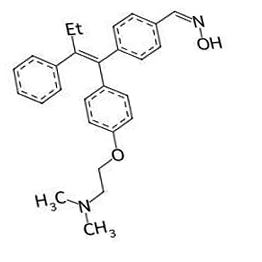 CC/C(=C(\c1ccc(/C=N\O)cc1)c1ccc(OCCN(C)C)cc1)c1ccccc1